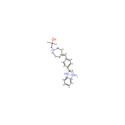 CC(C)(O)CN1CCC/C(=C\c2ccc(C(=O)Nc3ccccc3N)cc2)CC1